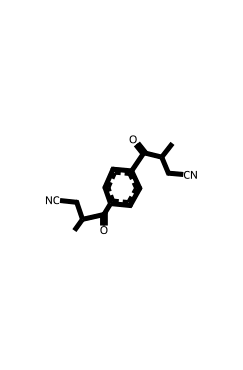 CC(CC#N)C(=O)c1ccc(C(=O)C(C)CC#N)cc1